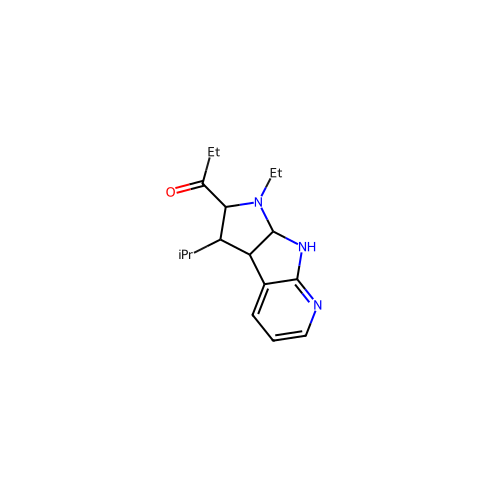 CCC(=O)C1C(C(C)C)C2c3cccnc3NC2N1CC